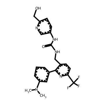 CN(C)c1cccc(-c2nc(C(F)(F)F)ccc2CNC(=O)Nc2ccc(CO)nc2)c1